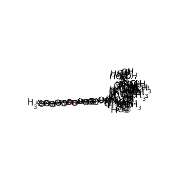 CC[C@H](C)[C@@H]([C@@H](CC(=O)N1CCC[C@H]1[C@H](OC)[C@@H](C)C(=O)N[C@H](C)[C@@H](O)c1ccccc1)OC)N(C)C(=O)[C@@H](NC(=O)[C@H](C(C)C)N(C)C(=O)OCc1ccc(O[C@@H]2O[C@H](C(=O)O)[C@@H](O)[C@H](O)[C@H]2O)c(CNC(=O)CCNC(=O)COC2(CNC(=O)CBr)CN(C(=O)CCOCCOCCOCCOCCOCCOCCOCCOCCOCCOCCOCCOC)C2)c1)C(C)C